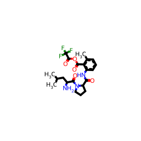 Cc1cccc(NC(=O)C2CCCN2C(=O)C(N)CC(C)C)c1C(=O)OC(=O)C(F)(F)F